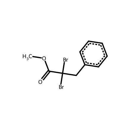 COC(=O)C(Br)(Br)Cc1ccccc1